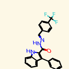 O=C(NN=Cc1ccc(C(F)(F)F)cc1)c1[nH]c2ccccc2c1-c1ccccc1